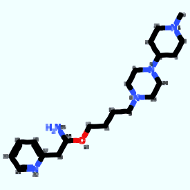 CN1CCC(N2CCN(CCCCOC(N)Cc3ccccn3)CC2)CC1